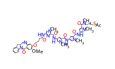 COc1cc2c(cc1OCCCC(=O)Nc1cn(C)c(C(=O)Nc3cc(C(=O)Nc4cc(C(=O)Nc5cc(C(=O)N(C)CCCSC(C)=O)n(C)c5)n(C)c4)n(C)c3)n1)N=CC1Cc3ccccc3N1C2=O